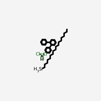 CCCCCCCCCCCCCCCCCC[SiH3].Cl[SiH](Cl)Cl.c1ccc(-c2ccccc2-c2ccccc2)cc1